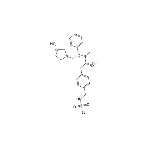 CCS(=O)(=O)NCc1ccc(CC(=O)N(C)[C@H](CN2CC[C@H](O)C2)c2ccccc2)cc1.Cl